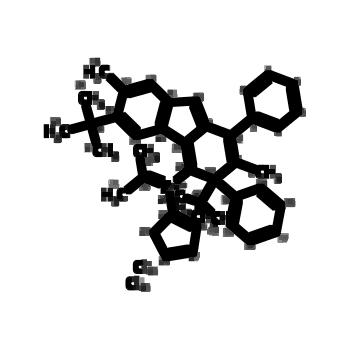 CC1=C(c2ccccc2)C2=Cc3cc(C)c(C(C)(C)C)cc3C2=[C]([Zr+2]([C]2=CC=CC2)=[C](C)C)C1(c1ccccc1)C(C)(C)C.[Cl-].[Cl-]